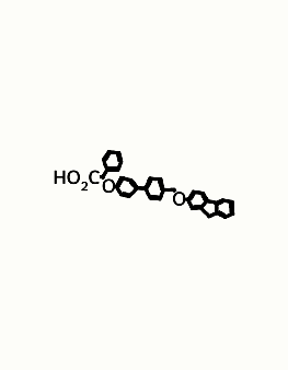 O=C(O)C(Oc1ccc(-c2ccc(COc3ccc4c(c3)Cc3ccccc3-4)cc2)cc1)c1ccccc1